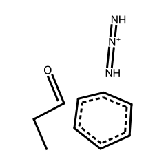 CCC=O.N=[N+]=N.c1ccccc1